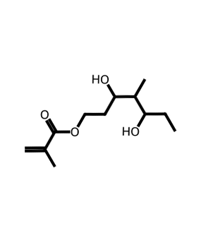 C=C(C)C(=O)OCCC(O)C(C)C(O)CC